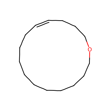 C1=C\CCCOCCCCCCCCCC/1